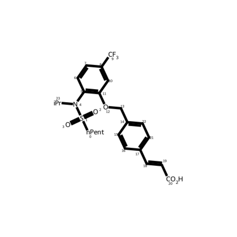 CCCCCS(=O)(=O)N(c1ccc(C(F)(F)F)cc1OCc1ccc(/C=C/C(=O)O)cc1)C(C)C